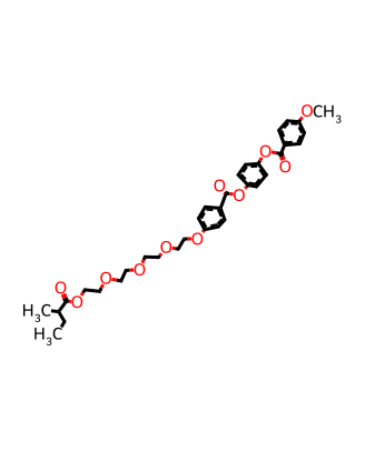 CCC(C)C(=O)OCCOCCOCCOCCOc1ccc(C(=O)Oc2ccc(OC(=O)c3ccc(OC)cc3)cc2)cc1